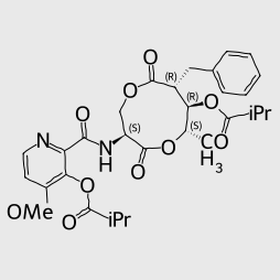 COc1ccnc(C(=O)N[C@H]2COC(=O)[C@H](Cc3ccccc3)[C@@H](OC(=O)C(C)C)[C@H](C)OC2=O)c1OC(=O)C(C)C